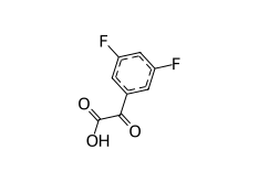 O=C(O)C(=O)c1cc(F)cc(F)c1